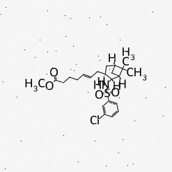 COC(=O)CCCC=CC[C@H]1C[C@H]2C[C@@H]([C@@H]1NS(=O)(=O)c1cccc(Cl)c1)C2(C)C